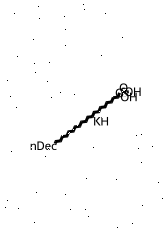 CCCCCCCCCCCCCCCCCCCCCCCCCCCCCCOP(=O)(O)O.[KH]